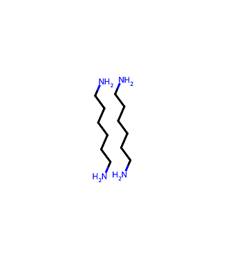 NCCCCCCN.NCCCCCCN